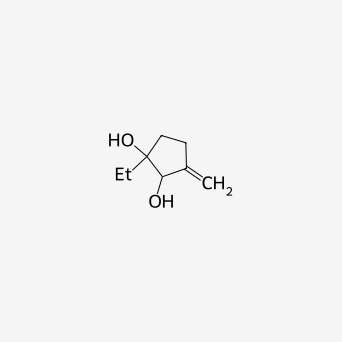 C=C1CCC(O)(CC)C1O